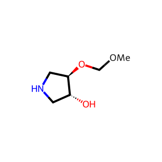 COCO[C@@H]1CNC[C@H]1O